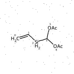 C=C[SiH2]C(OC(C)=O)OC(C)=O